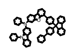 c1ccc(-c2ccc(C3(c4ccc(-c5cccc6c5oc5cc(N(c7ccccc7)c7ccc8c9ccccc9n(-c9ccccc9)c8c7)ccc56)cc4)c4ccccc4-c4ccccc43)cc2)cc1